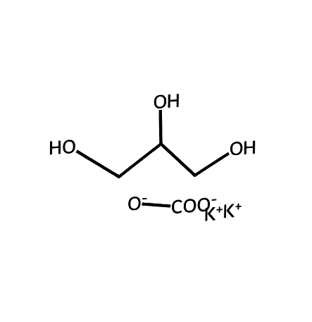 O=C([O-])[O-].OCC(O)CO.[K+].[K+]